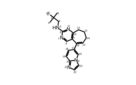 CC(C)(F)CNc1ncc2c(n1)CCCC=C2c1ccc2nccn2c1